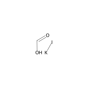 O=CO.[K][I]